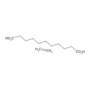 C=C.O=C(O)CCCCCCCCCC(=O)O